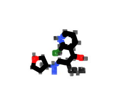 CCOC(=O)C(=CN[C@@H]1CCOC1)C(=O)c1cccnc1Cl